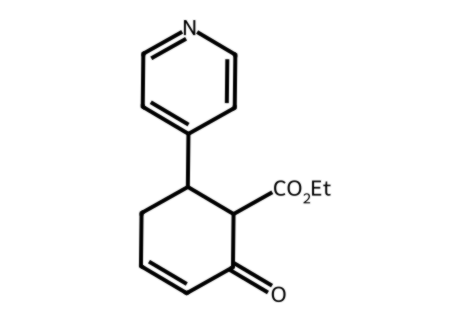 CCOC(=O)C1C(=O)C=CCC1c1ccncc1